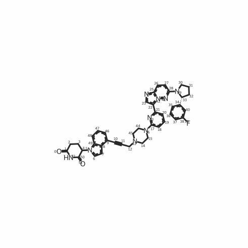 O=C1CCC(n2ccc3c(C#CCN4CCN(c5cccc(-c6cnc7ccc(N8CCC[C@@H]8c8cccc(F)c8)nn67)n5)CC4)cccc32)C(=O)N1